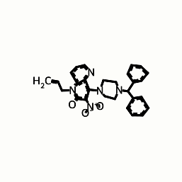 C=CCn1c(=O)c([N+](=O)[O-])c(N2CCN(C(c3ccccc3)c3ccccc3)CC2)c2ncccc21